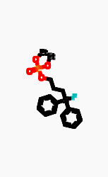 CCOP(=O)(OCC)OCCC[Si](F)(c1ccccc1)c1ccccc1